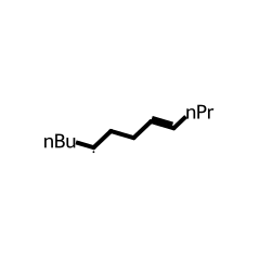 CCCC=CCC[CH]CCCC